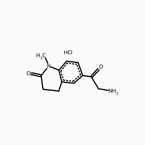 CN1C(=O)CCc2cc(C(=O)CN)ccc21.Cl